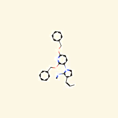 C=Nc1c(/C=C\C)ccn1-c1ccc(OCc2ccccc2)nc1OCc1ccccc1